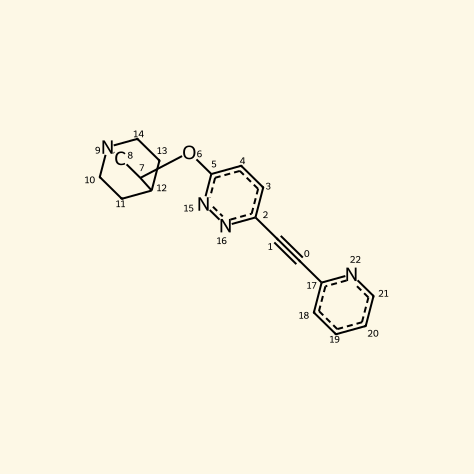 C(#Cc1ccc(OC2CN3CCC2CC3)nn1)c1ccccn1